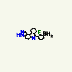 Bc1cccc(-c2nc3ccc4[nH]ncc4c3c3c2CCCC3)c1F